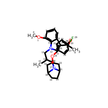 COc1cccc2c(C(C)=O)cn(CC(C)CN3C4CCC3CC(Oc3ccc(F)cc3)C4)c12